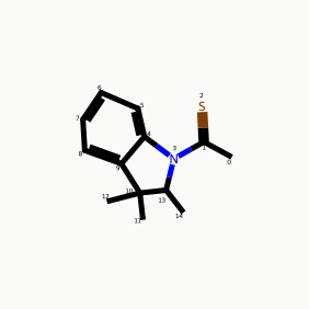 CC(=S)N1c2ccccc2C(C)(C)C1C